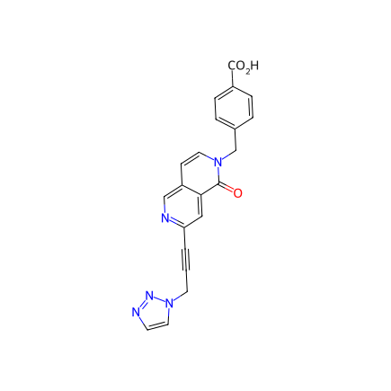 O=C(O)c1ccc(Cn2ccc3cnc(C#CCn4ccnn4)cc3c2=O)cc1